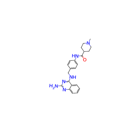 CN1CCC(C(=O)Nc2ccc(CNc3nc(N)nc4ccccc34)cc2)CC1